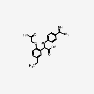 CCc1ccc(OCC(=O)O)c(C(Nc2ccc(C(=N)N)cc2)C(=O)O)c1